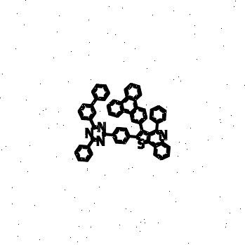 c1ccc(-c2cccc(-c3nc(-c4ccccc4)nc(-c4ccc(-c5sc6c(c(-c7ccccc7)nc7ccccc76)c5-c5ccc6c7ccccc7c7ccccc7c6c5)cc4)n3)c2)cc1